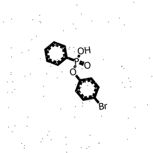 O=P(O)(Oc1ccc(Br)cc1)c1ccccc1